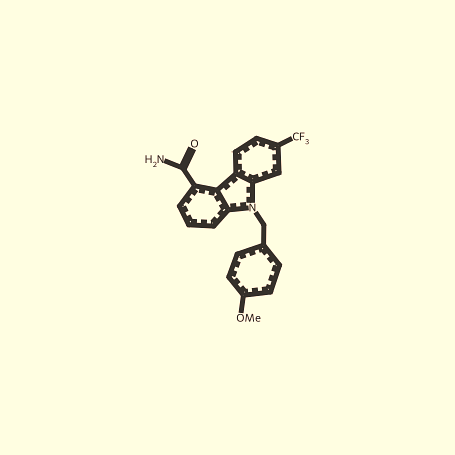 COc1ccc(Cn2c3cc(C(F)(F)F)c[c]c3c3c(C(N)=O)cccc32)cc1